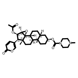 CC(=O)O[C@H]1[C@H]2O[C@]23[C@@H]2CC[C@@H]4C[C@@H](OC(=O)N5CCN(C)CC5)CC[C@]4(C)[C@H]2CC[C@]3(C)[C@H]1c1ccc(=O)oc1